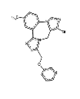 Cc1ccc2c(c1)-c1nnc(COc3cccnc3)n1Cc1c(Br)ncn1-2